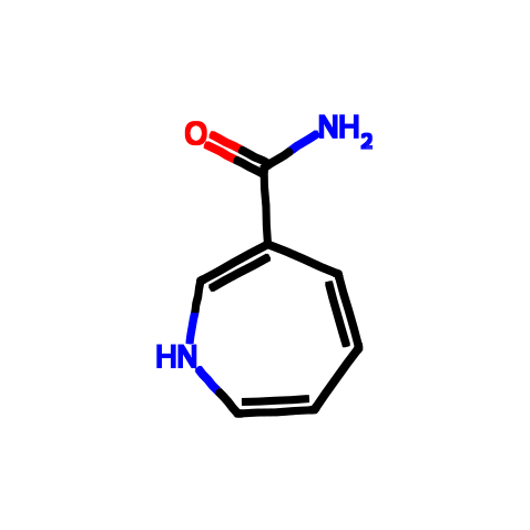 NC(=O)C1=CNC=CC=C1